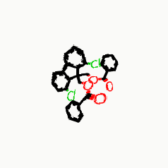 O=C(OCC1(COC(=O)c2ccccc2)c2c(Cl)cccc2-c2cccc(Cl)c21)c1ccccc1